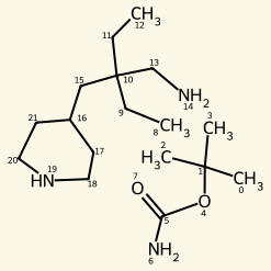 CC(C)(C)OC(N)=O.CCC(CC)(CN)CC1CCNCC1